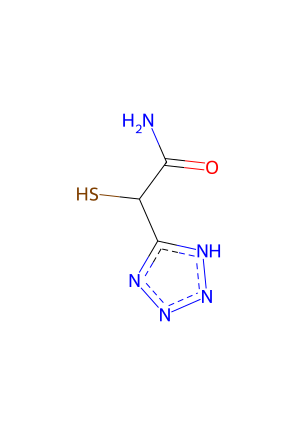 NC(=O)C(S)c1nnn[nH]1